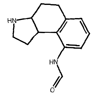 O=CNc1cccc2c1C1CCNC1CC2